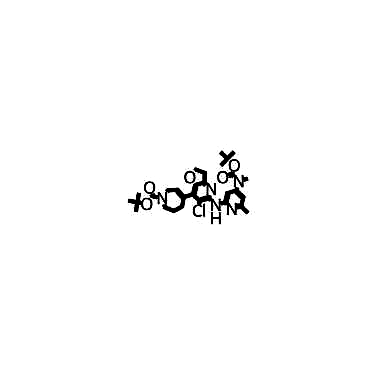 Cc1cc(N(C)C(=O)OC(C)(C)C)cc(Nc2nc3c(c(C4=CCN(C(=O)OC(C)(C)C)CCC4)c2Cl)OCC3)n1